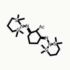 CC(=O)C1C(=NN2[Si](C)(C)CCC[Si]2(C)C)CCCC1=NN1[Si](C)(C)CCC[Si]1(C)C